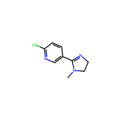 CN1CCN=C1c1ccc(Cl)nc1